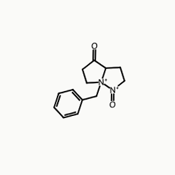 O=C1CC[N+]2(Cc3ccccc3)C1CC[N+]2=O